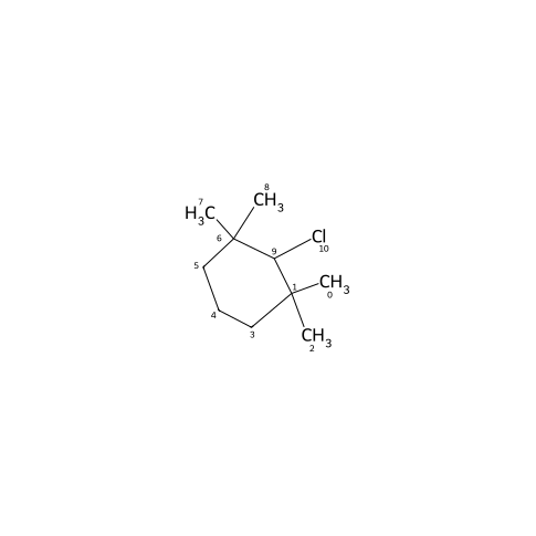 CC1(C)CCCC(C)(C)C1Cl